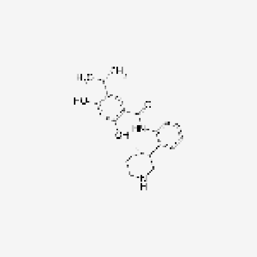 CC(C)c1cc(C(=O)Nc2ccccc2C2CNCCO2)c(O)cc1O